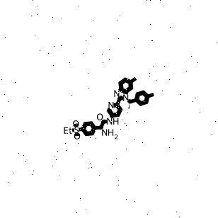 CCS(=O)(=O)c1ccc(C(N)C(=O)Nc2ccc(-c3nc4ccc(C)cc4n3[C@@H](C)c3ccc(C)cc3)nc2)cc1